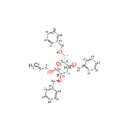 C=CCO[C@H]1O[C@H](COCc2ccccc2)[C@@H](OCc2ccccc2)C[C@H]1OCc1ccccc1